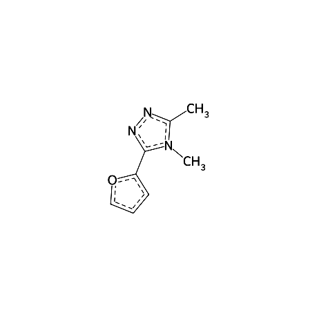 Cc1nnc(-c2ccco2)n1C